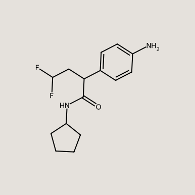 Nc1ccc(C(CC(F)F)C(=O)NC2CCCC2)cc1